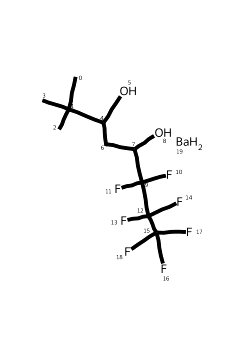 CC(C)(C)C(O)CC(O)C(F)(F)C(F)(F)C(F)(F)F.[BaH2]